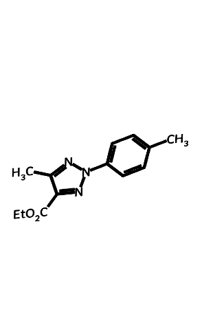 CCOC(=O)c1nn(-c2ccc(C)cc2)nc1C